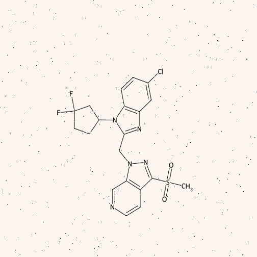 CS(=O)(=O)c1nn(Cc2nc3cc(Cl)ccc3n2C2CCC(F)(F)C2)c2cnccc12